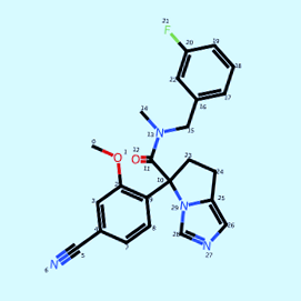 COc1cc(C#N)ccc1C1(C(=O)N(C)Cc2cccc(F)c2)CCc2cncn21